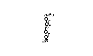 CCCCOc1ccc(-c2ccc(OCc3ccc(-c4ccc(OCC)cc4F)cc3)c(F)c2F)cc1